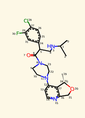 CC(C)NCC(C(=O)N1CCN(c2ccnc3c2[C@H](C)OC3)CC1)c1ccc(Cl)c(F)c1